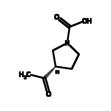 CC(=O)[C@H]1CCN(C(=O)O)C1